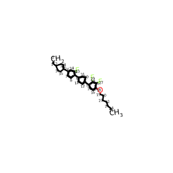 C=CC1CC=C(c2ccc(-c3ccc(-c4ccc(OCCCCCCC)c(F)c4F)cc3)c(F)c2)CC1